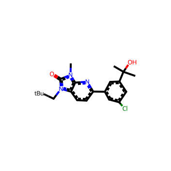 Cn1c(=O)n(CC(C)(C)C)c2ccc(-c3cc(Cl)cc(C(C)(C)O)c3)nc21